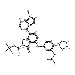 CN(C)Cc1nc(Nc2cnc(-c3ccnc4c3ccn4C)c3c2C(=O)N(C(=O)OC(C)(C)C)C3)ccc1[C@@H]1CCOC1